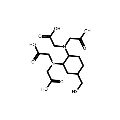 O=C(O)CN(CC(=O)O)C1CCC(CS)CC1N(CC(=O)O)CC(=O)O